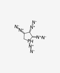 [N-]=[N+]=C1C[PH](=[N+]=[N-])C(=[N+]=[N-])C1=[N+]=[N-]